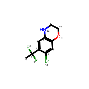 CC(F)(F)c1cc2c(cc1Br)OCCN2